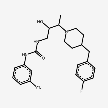 CC(C(O)CNC(=O)Nc1cccc(C#N)c1)N1CCC(Cc2ccc(F)cc2)CC1